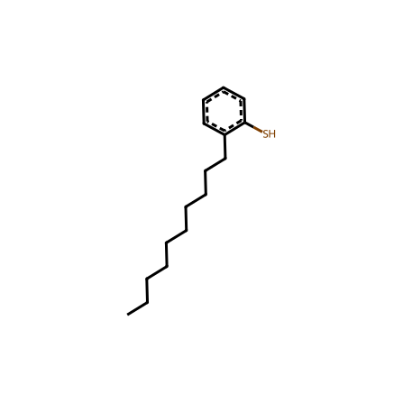 CCCCCCCCCCc1ccccc1S